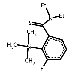 CCN(CC)C(=S)c1cccc(F)c1[Si](C)(C)C